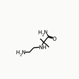 CC(C)(NCCN)C(N)=O